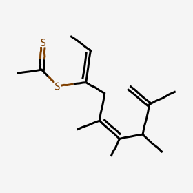 C=C(C)C(C)/C(C)=C(/C)C/C(=C/C)SC(C)=S